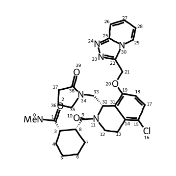 CNC(=O)[C@H]1CCCC[C@H]1C(=O)N1CCc2c(Cl)ccc(OCc3nnc4ccccn34)c2[C@H]1CN1CCCC1=O